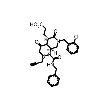 C#CCN1CC(=O)C2[C@@H](CCC(=O)O)C(=O)N(Cc3ccccc3Cl)C[C@@H]2N1C(=O)NCc1ccccc1